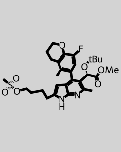 COC(=O)[C@@H](OC(C)(C)C)c1c(C)nc2[nH]c(CCCCOS(C)(=O)=O)cc2c1-c1cc(F)c2c(c1C)CCCO2